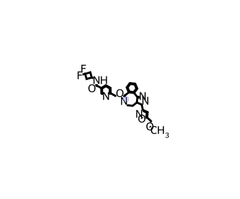 COCc1cc(C2=NN=C3c4ccccc4/C(OCc4ccc(C(=O)NC5CC(F)(F)C5)cn4)=N\CCC23)no1